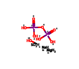 O=P(O)(O)OP(=O)(O)O.O=S(=O)(O)O.[MgH2].[NaH]